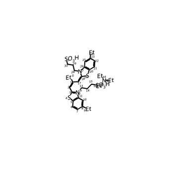 CCC(=Cc1sc2ccc(CC)cc2[n+]1CCCS(=O)(=O)O)C=C1Sc2ccc(CC)cc2N1CCCS(=O)(=O)O.CCN(CC)CC